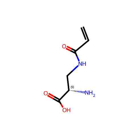 C=CC(=O)NC[C@H](N)C(=O)O